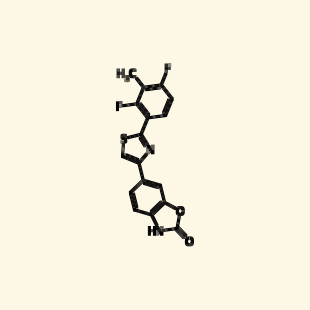 Cc1c(F)ccc(-c2nc(-c3ccc4[nH]c(=O)oc4c3)cs2)c1F